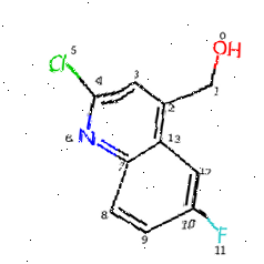 OCc1cc(Cl)nc2ccc(F)cc12